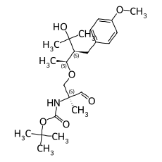 COc1ccc(C[C@@H]([C@H](C)OC[C@@](C)(C=O)NC(=O)OC(C)(C)C)C(C)(C)O)cc1